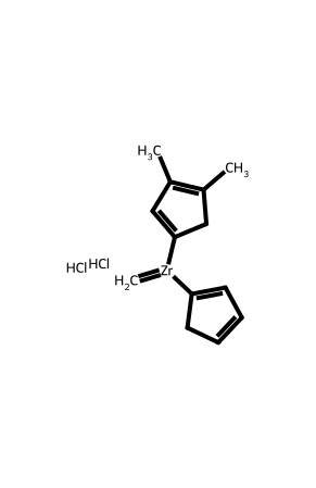 Cl.Cl.[CH2]=[Zr]([C]1=CC=CC1)[C]1=CC(C)=C(C)C1